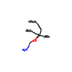 CCCCCC[Si](OC)(OC)OCN